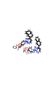 CC1(O)CCN(c2nccc(-c3ccc4ccccc4c3)n2)CC1.O=[N+]([O-])CC1(O)CCN(c2nccc(-c3ccc4ccccc4c3)n2)CC1